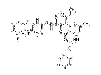 CC[C@H](C)C(NC(=O)[C@H](CC(C)C)NC(=O)OCc1ccccc1)C(=O)C(=O)NCC(=O)N[C@@H](Cc1cccc(F)c1)C(N)=O